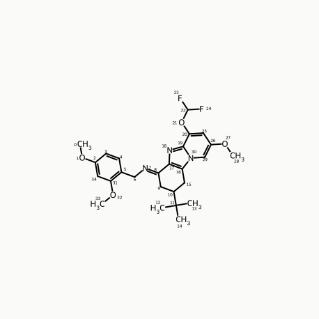 COc1ccc(CN=C2CC(C(C)(C)C)Cc3c2nc2c(OC(F)F)cc(OC)cn32)c(OC)c1